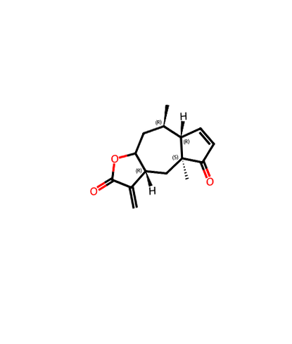 C=C1C(=O)OC2C[C@@H](C)[C@@H]3C=CC(=O)[C@@]3(C)C[C@H]12